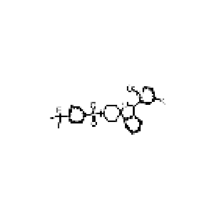 CC(F)(F)c1ccc(S(=O)(=O)N2CCC3(CC2)OC(c2cc(Cl)cc[n+]2[O-])c2ccccc23)cc1